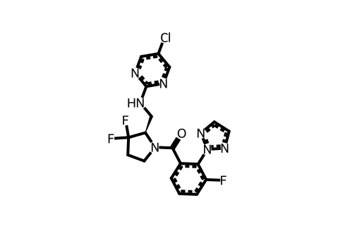 O=C(c1cccc(F)c1-n1nccn1)N1CCC(F)(F)[C@H]1CNc1ncc(Cl)cn1